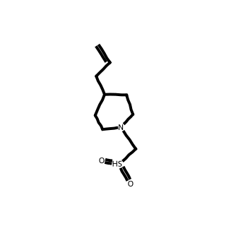 C=CCC1CCN(C[SH](=O)=O)CC1